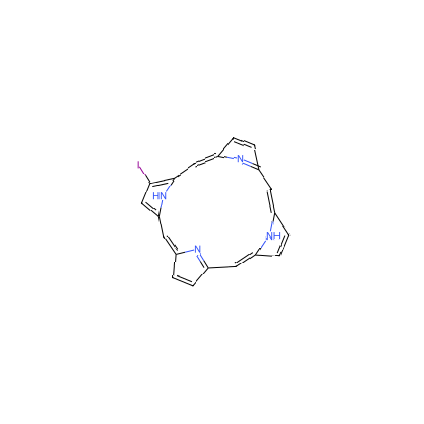 Ic1cc2cc3nc(cc4ccc(cc5nc(cc1[nH]2)C=C5)[nH]4)C=C3